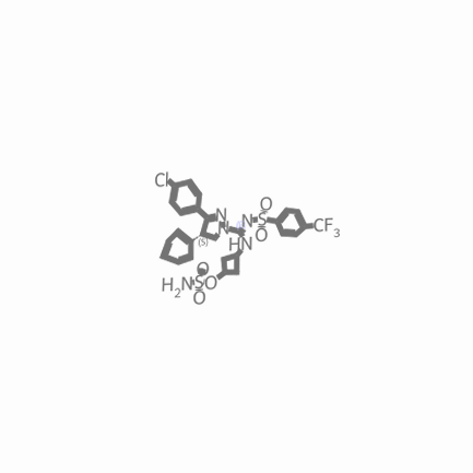 NS(=O)(=O)OC1CC(N/C(=N\S(=O)(=O)c2ccc(C(F)(F)F)cc2)N2C[C@H](c3ccccc3)C(c3ccc(Cl)cc3)=N2)C1